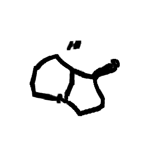 I.O=C1CCN2CCCC12